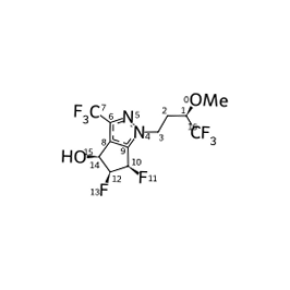 CO[C@H](CCn1nc(C(F)(F)F)c2c1[C@@H](F)[C@@H](F)[C@H]2O)C(F)(F)F